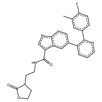 Cc1cc(-c2ncccc2-c2ccc3ncc(C(=O)NCCN4CCOC4=O)n3c2)ccc1F